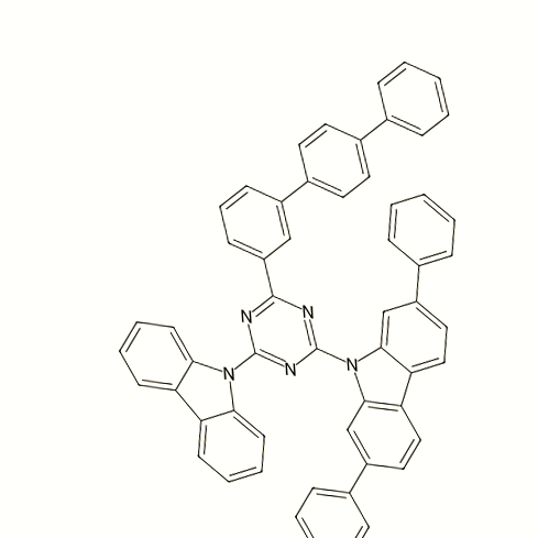 c1ccc(-c2ccc(-c3cccc(-c4nc(-n5c6ccccc6c6ccccc65)nc(-n5c6cc(-c7ccccc7)ccc6c6ccc(-c7ccccc7)cc65)n4)c3)cc2)cc1